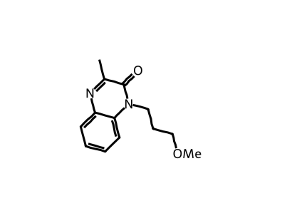 COCCCn1c(=O)c(C)nc2ccccc21